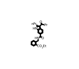 CCCc1[nH]c2cc(C(=O)NCc3ccccc3C(=O)OCC)ccc2c1C(=O)C(C)C